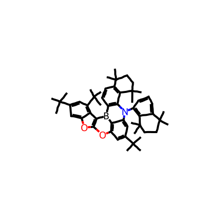 CC(C)(C)c1cc2c3c(c1)N(c1cccc4c1C(C)(C)CCC4(C)C)c1c(ccc4c1C(C)(C)CCC4(C)C)B3c1c(oc3cc(C(C)(C)C)cc(C(C)(C)C)c13)O2